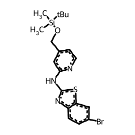 CC(C)(C)[Si](C)(C)OCc1ccnc(Nc2nc3ccc(Br)cc3s2)c1